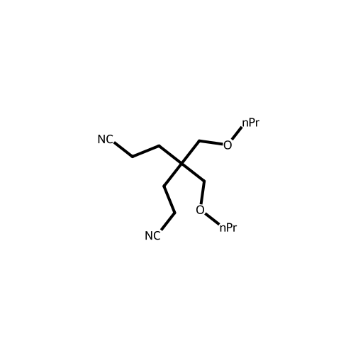 CCCOCC(CCC#N)(CCC#N)COCCC